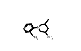 CC1CC(N)CN(c2ccncc2N)C1